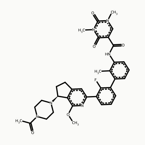 COc1nc(-c2cccc(-c3cccc(NC(=O)c4cn(C)c(=O)n(C)c4=O)c3C)c2F)cc2c1[C@@H](N1CCN(C(C)=O)CC1)CC2